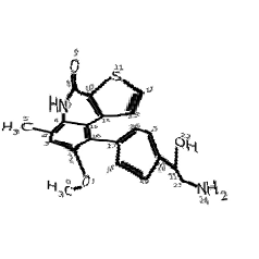 COc1cc(C)c2[nH]c(=O)c3sccc3c2c1-c1ccc(C(O)CN)cc1